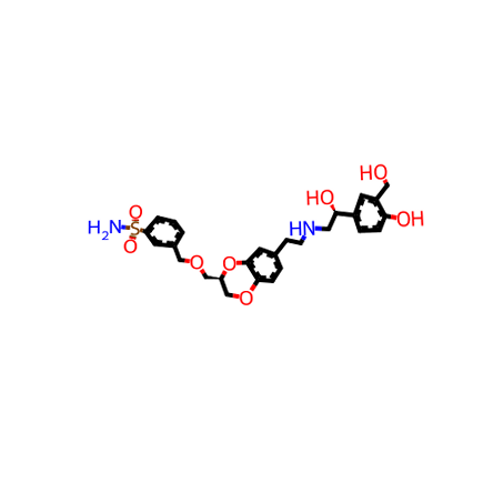 NS(=O)(=O)c1cccc(COC[C@@H]2COc3ccc(CCNC[C@@H](O)c4ccc(O)c(CO)c4)cc3O2)c1